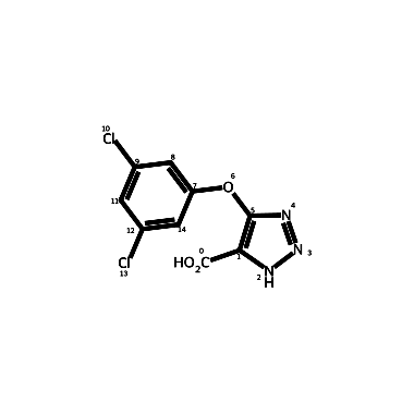 O=C(O)c1[nH]nnc1Oc1cc(Cl)cc(Cl)c1